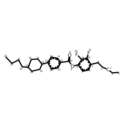 CCCCCc1ccc(OC(=O)c2ccc(C3CCC(CCCC)CC3)cc2)c(F)c1F